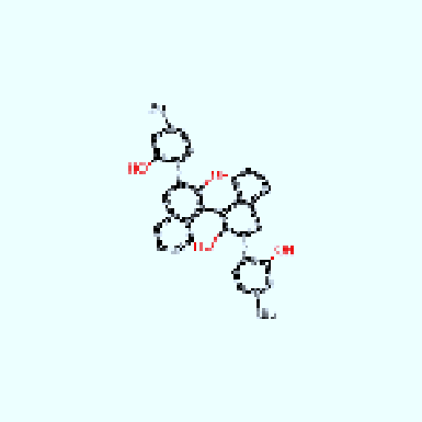 CC(C)(C)c1ccc(-c2cc3ccccc3c(-c3c(O)c(-c4ccc(C(C)(C)C)cc4O)cc4ccccc34)c2O)c(O)c1